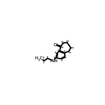 CCCNc1ccc2c(c1)C(=O)CCCC2